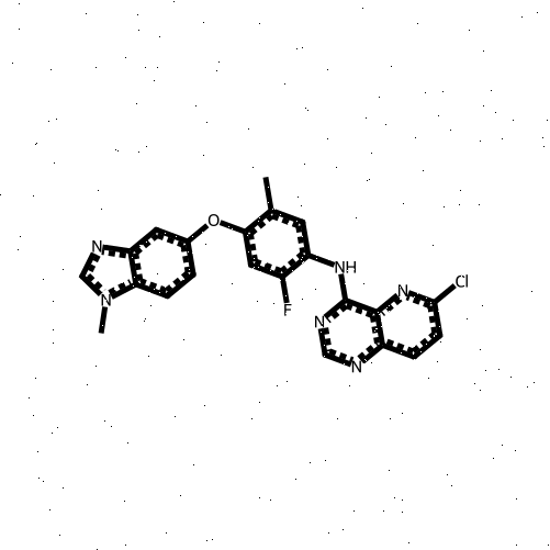 Cc1cc(Nc2ncnc3ccc(Cl)nc23)c(F)cc1Oc1ccc2c(c1)ncn2C